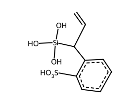 C=CC(c1ccccc1S(=O)(=O)O)[Si](O)(O)O